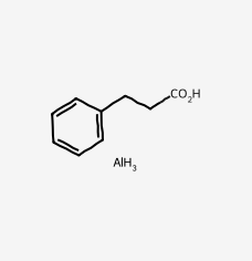 O=C(O)CCc1ccccc1.[AlH3]